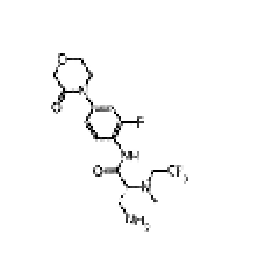 CN(CC(F)(F)F)[C@H](CN)C(=O)Nc1ccc(N2CCOCC2=O)cc1F